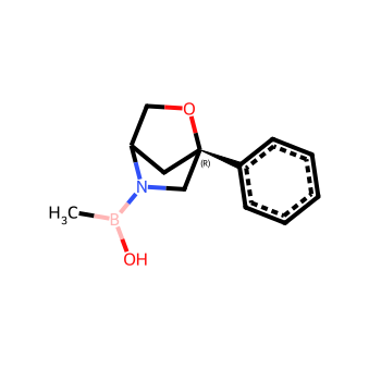 CB(O)N1C[C@]2(c3ccccc3)CC1CO2